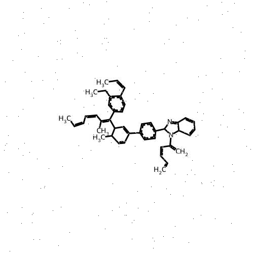 C=C/C=C\C(=C)N1C2C=CC=CC2=NC1c1ccc(C2=CC(/C(=C(C)/C=C\C=C/C)c3ccc(/C=C\C)c(CC)c3)C(C)C=C2)cc1